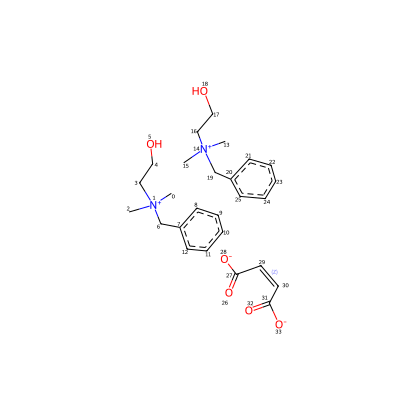 C[N+](C)(CCO)Cc1ccccc1.C[N+](C)(CCO)Cc1ccccc1.O=C([O-])/C=C\C(=O)[O-]